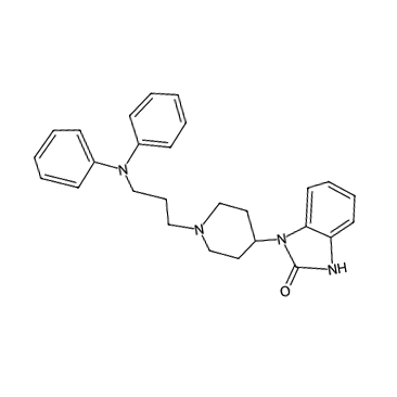 O=c1[nH]c2ccccc2n1C1CCN(CCCN(c2ccccc2)c2ccccc2)CC1